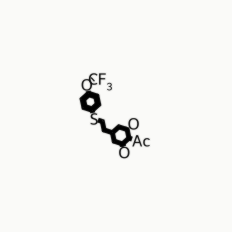 CC(=O)C1C(=O)CC(CCSc2ccc(OC(F)(F)F)cc2)CC1=O